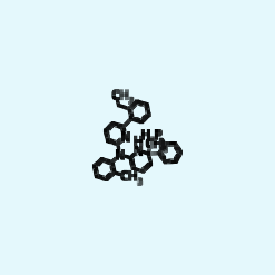 CCc1ccccc1-c1cccc(N(C2=CC=CC(C)(c3ccccc3P)N2)c2ccccc2C)n1